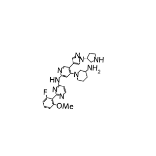 COc1cccc(F)c1-c1nccc(Nc2cc(N3CCC[C@H](N)C3)c(-c3cnn([C@@H]4CCNC4)c3)cn2)n1